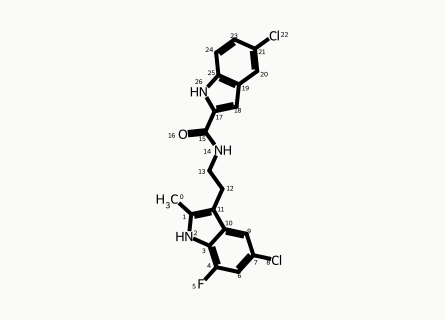 Cc1[nH]c2c(F)cc(Cl)cc2c1CCNC(=O)c1cc2cc(Cl)ccc2[nH]1